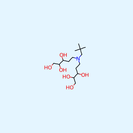 CC(C)(C)CN(CCC(O)C(O)CO)CCC(O)C(O)CO